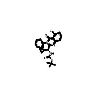 CC(C)(C)OC(=O)N[C@H](c1nc2cccc(Cl)c2c(=O)n1-c1ccccc1)C1CC1